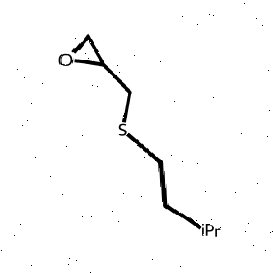 CC(C)CCSCC1CO1